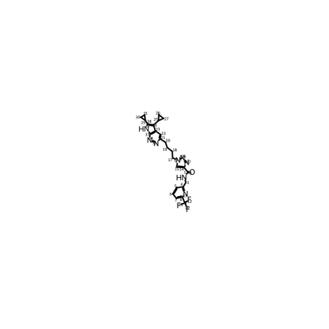 O=C(NCc1cccc(C(F)(F)F)n1)c1cn(CCCCc2cc3c(C4CC4)c(C4CC4)[nH]c3nn2)nn1